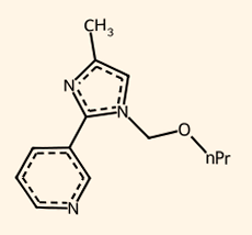 CCCOCn1cc(C)nc1-c1cccnc1